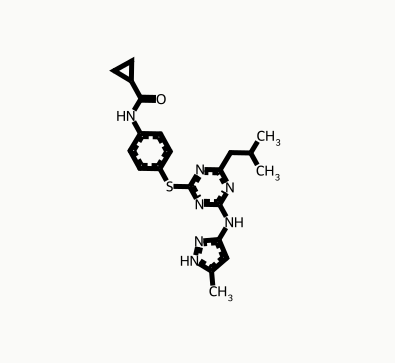 Cc1cc(Nc2nc(CC(C)C)nc(Sc3ccc(NC(=O)C4CC4)cc3)n2)n[nH]1